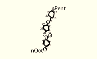 CCCCCCCCOc1ccc(C(=O)Oc2ccc(OCC3CCC(CCCCC)CC3)cc2)cc1